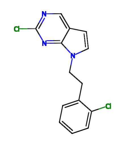 Clc1ncc2ccn(CCc3ccccc3Cl)c2n1